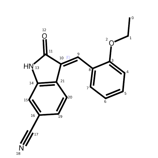 CCOc1ccccc1/C=C1/C(=O)Nc2cc(C#N)ccc21